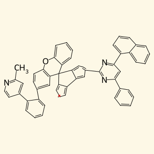 Cc1cc(-c2ccccc2-c2ccc3c(c2)C2(c4ccccc4O3)c3ccccc3-c3cc(-c4nc(-c5ccccc5)cc(-c5cccc6ccccc56)n4)ccc32)ccn1